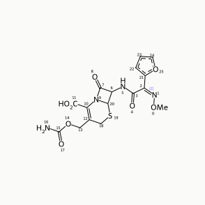 CO/N=C(\C(=O)NC1C(=O)N2C(C(=O)O)=C(COC(N)=O)CSC12)c1ccco1